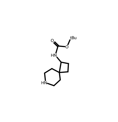 CC(C)(C)OC(=O)NC1CCC12CCNCC2